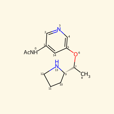 CC(=O)Nc1cncc(OC(C)[C@@H]2CCCN2)c1